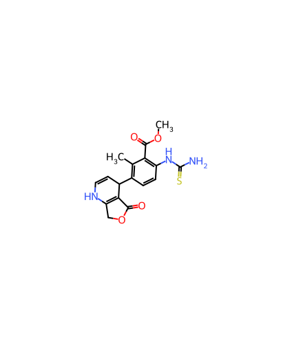 COC(=O)c1c(NC(N)=S)ccc(C2C=CNC3=C2C(=O)OC3)c1C